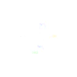 Cl.N.NC(CS)C(=O)O